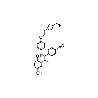 CC1=C(c2ccc(C#N)cc2)[C@@H](c2ccc(OCCN3CC(CF)C3)cc2)Oc2ccc(O)cc21